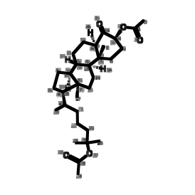 CC(=O)O[C@H]1CC[C@@]2(C)[C@@H](CC[C@@H]3[C@@H]2CC[C@]2(C)[C@@H](C(C)CCCC(C)(C)OC(C)=O)CC[C@@H]32)C1=O